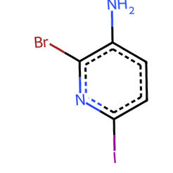 Nc1ccc(I)nc1Br